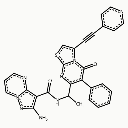 CC(NC(=O)c1c(N)nn2cccnc12)c1nc2scc(C#Cc3ccncc3)n2c(=O)c1-c1ccccc1